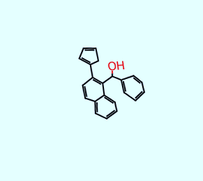 OC(c1ccccc1)c1c(C2=CC=CC2)ccc2ccccc12